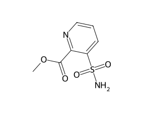 COC(=O)c1ncccc1S(N)(=O)=O